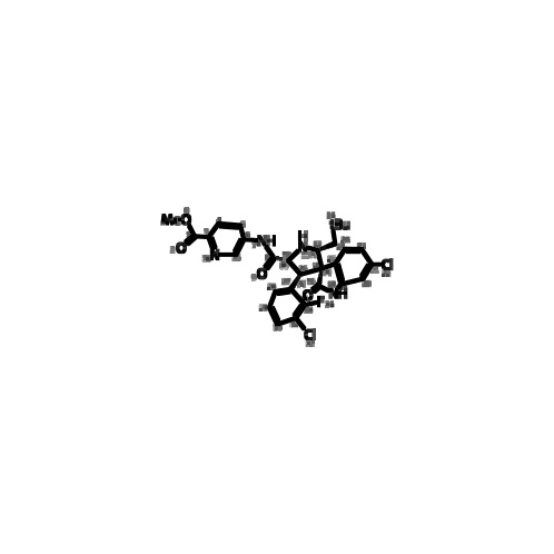 COC(=O)c1ccc(NC(=O)[C@@H]2N[C@@H](CC(C)(C)C)[C@@]3(C(=O)Nc4cc(Cl)ccc43)[C@H]2c2cccc(Cl)c2F)cn1